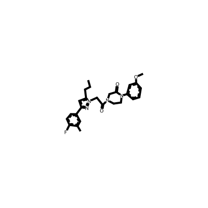 CCCc1cc(-c2ccc(F)c(C)c2)nn1CC(=O)N1CCN(c2cccc(OC)c2)C(=O)C1